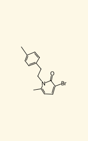 Cc1ccc(CCn2c(C)ccc(Br)c2=O)cc1